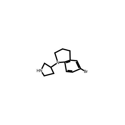 Brc1ccc2c(c1)CCCN2C1CCNC1